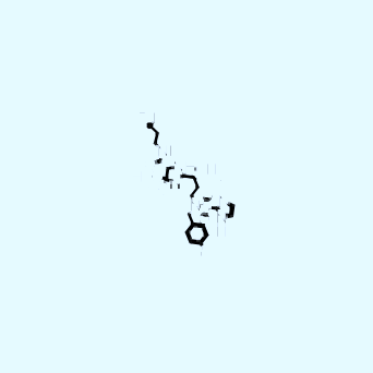 C=C(CCN(Cc1ccc(Cl)cc1)S(=O)(=O)c1ncc[nH]1)C1=NC(C)(C)[C@H](C(=O)NCCC(F)(F)F)N1